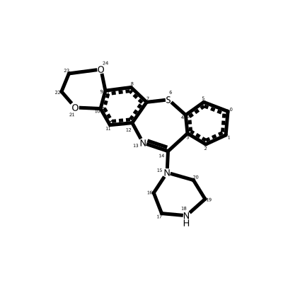 c1ccc2c(c1)Sc1cc3c(cc1N=C2N1CCNCC1)OCCO3